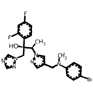 C[C@@H](n1cc(CN(C)c2ccc(Br)cc2)cn1)[C@](O)(Cn1cncn1)c1ccc(F)cc1F